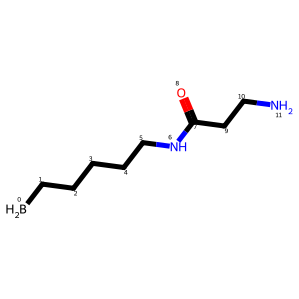 BCCCCCNC(=O)CCN